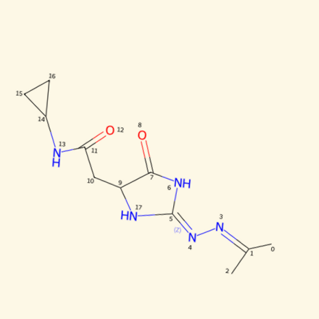 CC(C)=N/N=C1\NC(=O)C(CC(=O)NC2CC2)N1